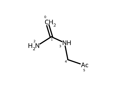 C=C(N)NCC(C)=O